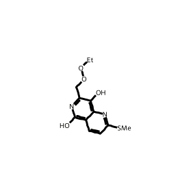 CCOOCc1nc(O)c2ccc(SC)nc2c1O